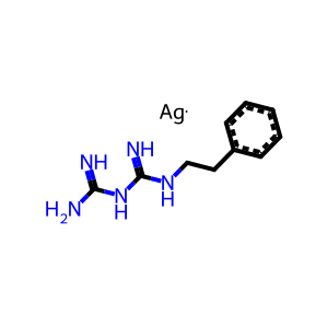 N=C(N)NC(=N)NCCc1ccccc1.[Ag]